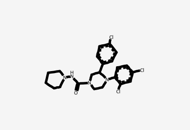 O=C(NN1CCCCC1)N1CCN(c2ccc(Cl)cc2Cl)C(c2ccc(Cl)cc2)C1